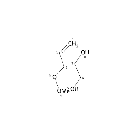 C=CCOOC.OCCO